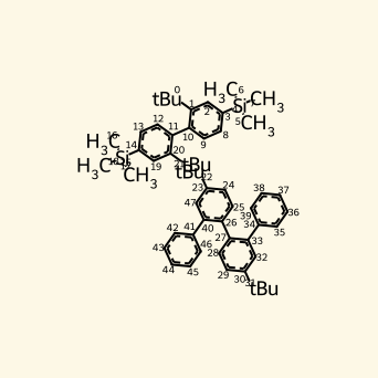 CC(C)(C)c1cc([Si](C)(C)C)ccc1-c1ccc([Si](C)(C)C)cc1C(C)(C)C.CC(C)(C)c1ccc(-c2ccc(C(C)(C)C)cc2-c2ccccc2)c(-c2ccccc2)c1